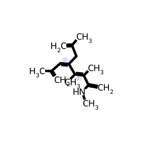 C=C(C)/C=C(CC(=C)C)\C(C)=C(/C)C(=C)NC